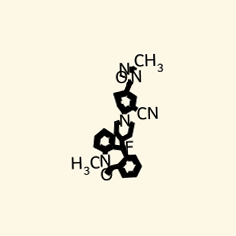 Cc1noc(-c2ccc(N3CCC(C4(F)c5ccccc5C(=O)N(C)c5ccccc54)CC3)c(C#N)c2)n1